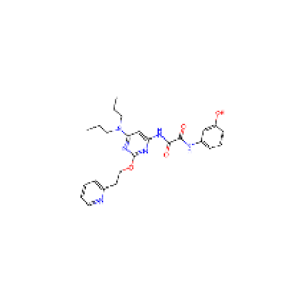 CCCN(CCC)c1cc(NC(=O)C(=O)Nc2cccc(O)c2)nc(OCCc2ccccn2)n1